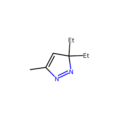 CCC1(CC)C=C(C)N=N1